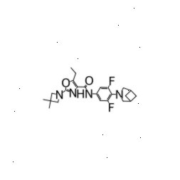 CCc1oc(N2CC(C)(C)C2)nc1C(=O)Nc1cc(F)c(N2CC3CC(C3)C2)c(F)c1